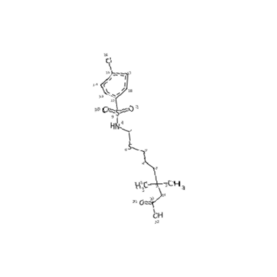 CC(C)(CCCSCNS(=O)(=O)c1ccc(Cl)cc1)CC(=O)O